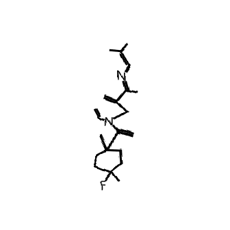 C=CN(CC(=C)/C(C)=N/C=C(C)C)C(=C)C1(C)CCC(C)(F)CC1